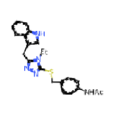 CCn1c(Cc2c[nH]c3ccccc23)nnc1SCc1ccc(NC(C)=O)cc1